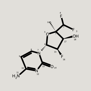 [CH2][C@@]1(C(F)F)O[C@@H](n2ccc(N)nc2=O)[C@H](F)[C@@H]1O